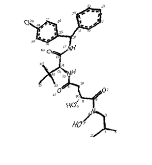 CC(C)CN(O)C(=O)[C@H](O)CC(=O)N[C@H](C(=O)NC(c1ccccc1)c1ccc(Cl)cc1)C(C)(C)C